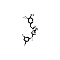 Oc1ccc(Cc2nnc3sc(Nc4cc(F)cc(F)c4)nn23)cc1O